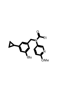 CCC(=O)N(Cc1cc(C2CC2)cc(C(C)(C)C)c1)c1ccc(OC)nc1